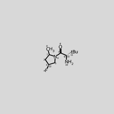 CC1C[C@H](F)CN1C(=O)[C@@H](N)C(C)(C)C